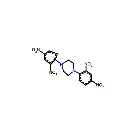 O=[N+]([O-])c1ccc(N2CCN(c3ccc([N+](=O)[O-])cc3[N+](=O)[O-])CC2)c([N+](=O)[O-])c1